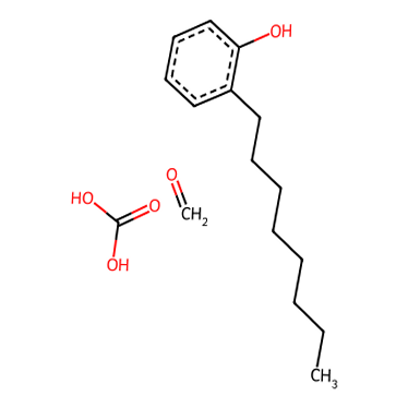 C=O.CCCCCCCCc1ccccc1O.O=C(O)O